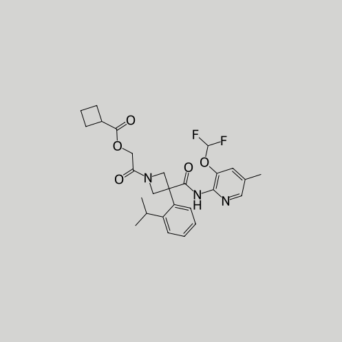 Cc1cnc(NC(=O)C2(c3ccccc3C(C)C)CN(C(=O)COC(=O)C3CCC3)C2)c(OC(F)F)c1